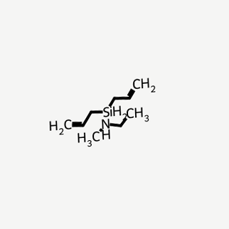 C=CC[SiH2]CC=C.CCNC